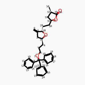 C=C1C[C@H](CCCOC(c2ccccc2)(c2ccccc2)c2ccccc2)O[C@H]1CCC1C[C@@H](C)C(=O)O1